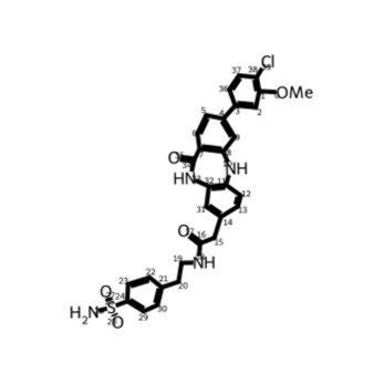 COc1cc(-c2ccc3c(c2)Nc2ccc(CC(=O)NCCc4ccc(S(N)(=O)=O)cc4)cc2NC3=O)ccc1Cl